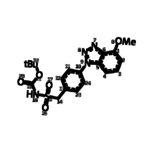 COc1cccc2c1nnn2-c1ccc(CS(=O)(=O)NC(=O)OC(C)(C)C)cc1